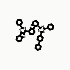 c1ccc(-c2ccc(-c3nc(-c4ccccc4)nc(-c4cccc5oc6c(-c7nc(-c8ccccc8)nc8c7sc7ccccc78)cccc6c45)n3)cc2)cc1